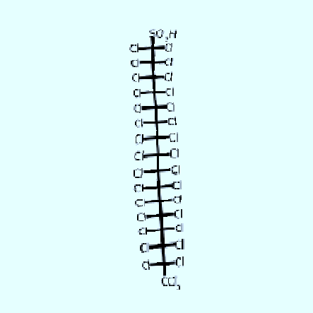 O=S(=O)(O)C(Cl)(Cl)C(Cl)(Cl)C(Cl)(Cl)C(Cl)(Cl)C(Cl)(Cl)C(Cl)(Cl)C(Cl)(Cl)C(Cl)(Cl)C(Cl)(Cl)C(Cl)(Cl)C(Cl)(Cl)C(Cl)(Cl)C(Cl)(Cl)C(Cl)(Cl)C(Cl)(Cl)C(Cl)(Cl)Cl